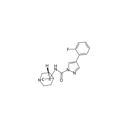 O=C(N[C@H]1CN2CCC1CC2)n1cc(-c2ccccc2F)cn1